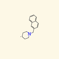 [CH]1CCN(Cc2ccc3ccccc3c2)CC1